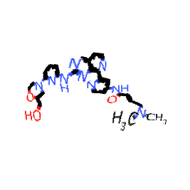 CN(C)CC=CC(=O)Nc1ccnc(-c2nccc3cnc(Nc4cccc(N5CCOC(CO)C5)n4)nc23)c1